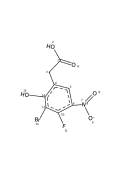 O=C(O)Cc1cc([N+](=O)[O-])c(F)c(Br)c1O